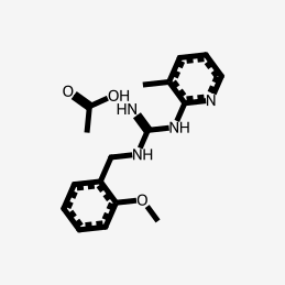 CC(=O)O.COc1ccccc1CNC(=N)Nc1ncccc1C